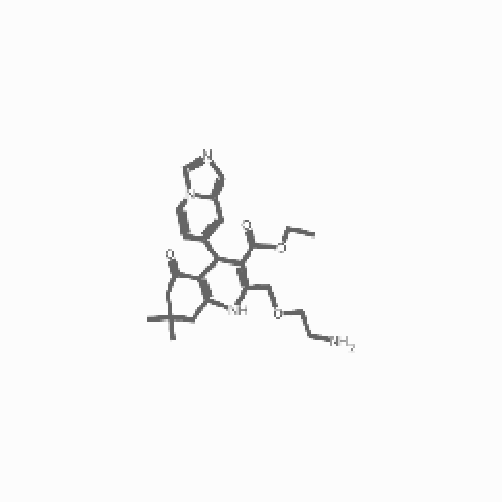 CCOC(=O)C1=C(COCCN)NC2=C(C(=O)CC(C)(C)C2)C1c1ccn2cncc2c1